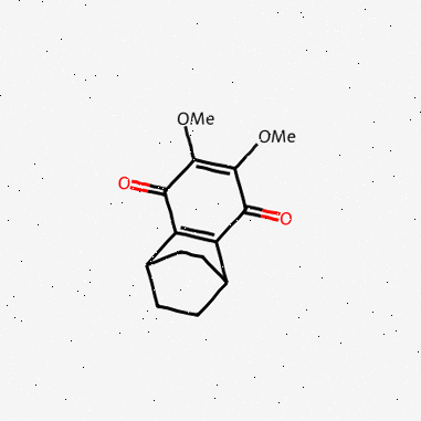 COC1=C(OC)C(=O)C2=C(C1=O)C1CCC2CC1